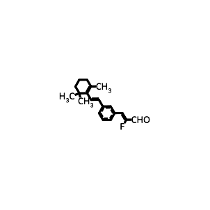 CC1=C(/C=C/c2cccc(/C=C(\F)C=O)c2)C(C)(C)CCC1